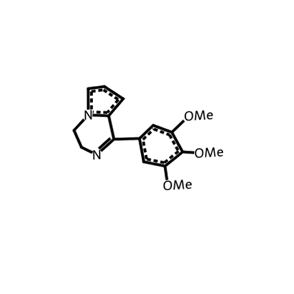 COc1cc(C2=NCCn3cccc32)cc(OC)c1OC